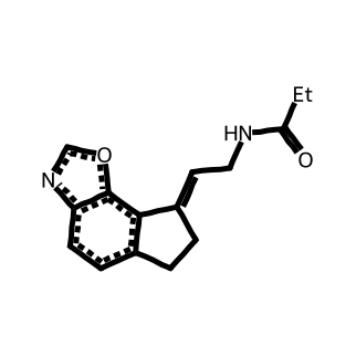 CCC(=O)NCC=C1CCc2ccc3ncoc3c21